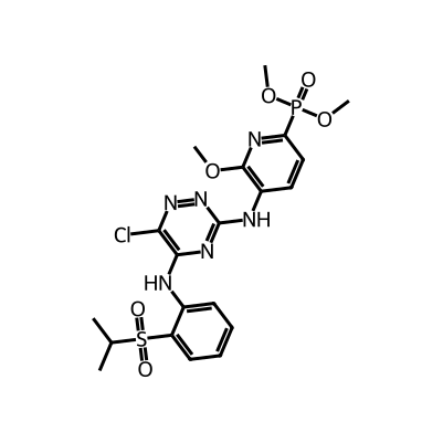 COc1nc(P(=O)(OC)OC)ccc1Nc1nnc(Cl)c(Nc2ccccc2S(=O)(=O)C(C)C)n1